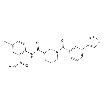 COC(=O)c1cc(Cl)ccc1NC(=O)C1CCCN(C(=O)c2cccc(-c3ccoc3)c2)C1